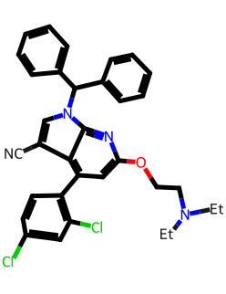 CCN(CC)CCOc1cc(-c2ccc(Cl)cc2Cl)c2c(C#N)cn(C(c3ccccc3)c3ccccc3)c2n1